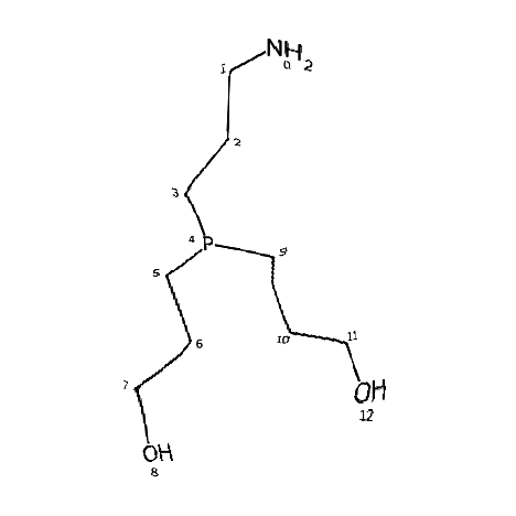 NCCCP(CCCO)CCCO